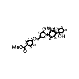 COC(=O)c1ccc(OCC2CC(=O)N(c3ccc(C4(O)CCCC4)cc3OC)C2)cc1